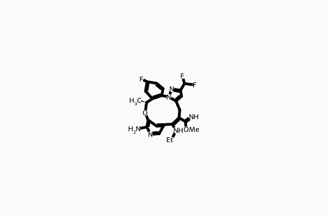 CCN/C1=C(\C(=N)OC)Cc2cc(C(F)F)nn2-c2ccc(F)cc2[C@@H](C)Oc2cc1cnc2N